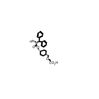 CCCN(C(=O)OC[C@H]1CC[C@H](COCC(=O)O)CC1)C(c1ccccc1)c1ccccc1